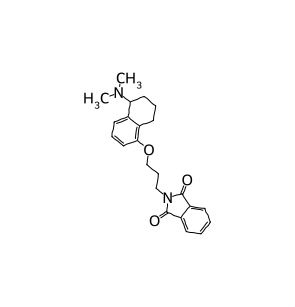 CN(C)C1CCCc2c(OCCCN3C(=O)c4ccccc4C3=O)cccc21